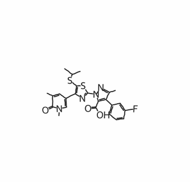 Cc1nn(-c2nc(-c3cc(C)c(=O)n(C)c3)c(SC(C)C)s2)c(C(=O)O)c1-c1cccc(F)c1